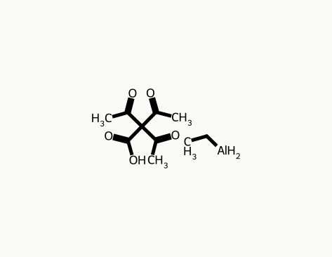 CC(=O)C(C(C)=O)(C(C)=O)C(=O)O.C[CH2][AlH2]